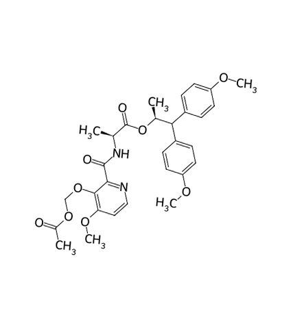 COc1ccc(C(c2ccc(OC)cc2)[C@H](C)OC(=O)[C@H](C)NC(=O)c2nccc(OC)c2OCOC(C)=O)cc1